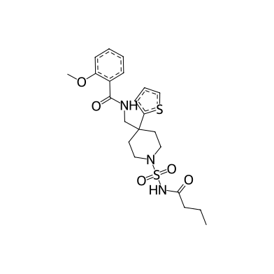 CCCC(=O)NS(=O)(=O)N1CCC(CNC(=O)c2ccccc2OC)(c2cccs2)CC1